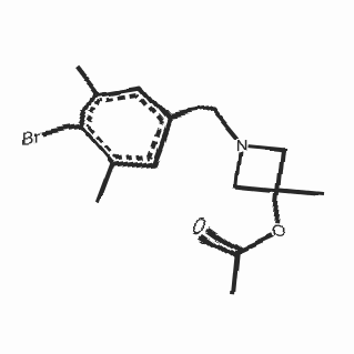 CC(=O)OC1(C)CN(Cc2cc(C)c(Br)c(C)c2)C1